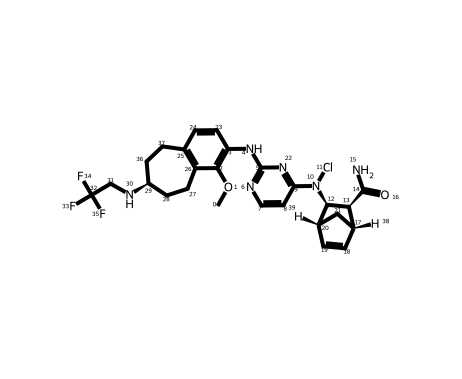 COc1c(Nc2nccc(N(Cl)[C@H]3[C@@H](C(N)=O)[C@@H]4C=C[C@H]3C4)n2)ccc2c1CC[C@@H](NCC(F)(F)F)CC2